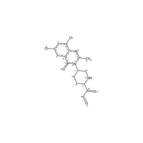 Cc1nc2c(Cl)cc(Cl)cc2c(=O)n1C1CCC(C(=O)C=O)NC1